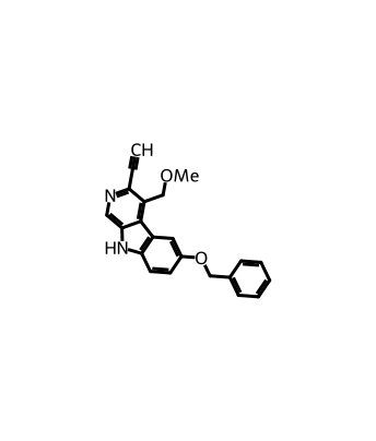 C#Cc1ncc2[nH]c3ccc(OCc4ccccc4)cc3c2c1COC